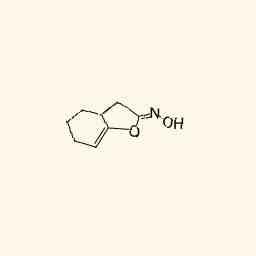 ON=C1CC2CCCC=C2O1